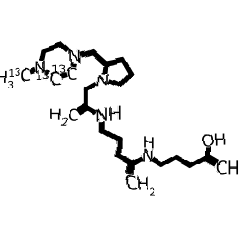 C=C(O)CCCNC(=C)CCCNC(=C)CN1CCCC1CN1CCN([13CH3])[13CH2][13CH2]1